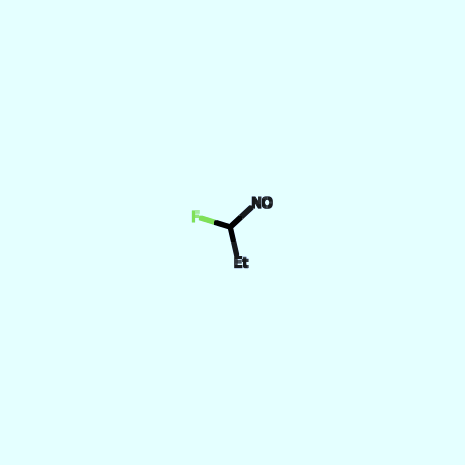 CCC(F)N=O